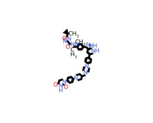 Cc1cc(-c2n[nH]c3c2C=C(c2ccc(N4CCN(CC5CCN(c6ccc(N7CCC(=O)NC7=O)cc6)CC5)CC4)cc2)CN3)ccc1[C@@H](C)NC(=O)c1noc(C2(C)CC2)n1